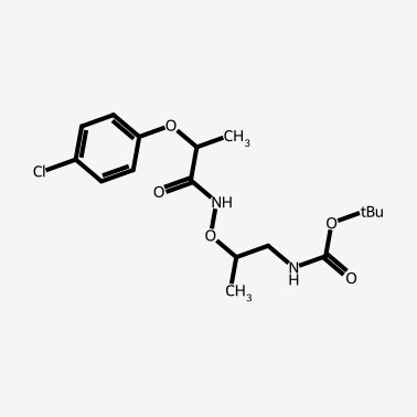 CC(CNC(=O)OC(C)(C)C)ONC(=O)C(C)Oc1ccc(Cl)cc1